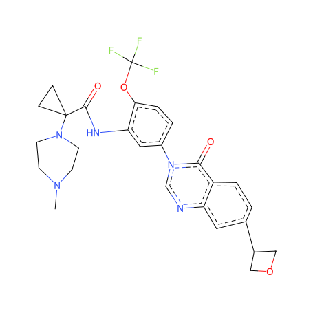 CN1CCN(C2(C(=O)Nc3cc(-n4cnc5cc(C6COC6)ccc5c4=O)ccc3OC(F)(F)F)CC2)CC1